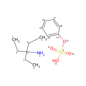 CCC(N)(CC)CC.O=S(=O)(O)Oc1ccccc1